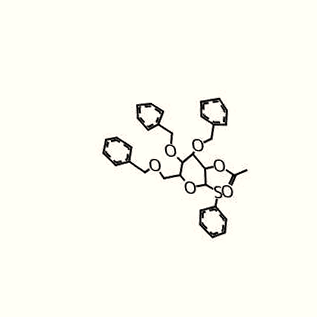 CC(=O)OC1C(Sc2ccccc2)OC(COCc2ccccc2)C(OCc2ccccc2)C1OCc1ccccc1